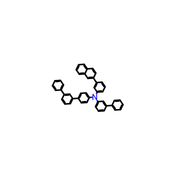 c1ccc(-c2cccc(-c3ccc(N(c4cccc(-c5ccccc5)c4)c4cccc(-c5ccc6ccccc6c5)c4)cc3)c2)cc1